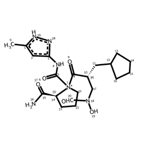 Cc1cc(NC(=O)[N+]2(C(=O)[C@H](CC3CCCC3)CN(O)C=O)CCC[C@H]2C(N)=O)n[nH]1